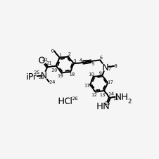 Cc1cc(C#CCN(C)c2cccc(C(=N)N)c2)ccc1C(=O)N(C)C(C)C.Cl